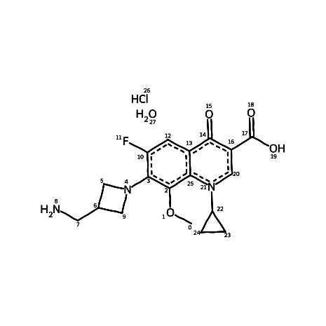 COc1c(N2CC(CN)C2)c(F)cc2c(=O)c(C(=O)O)cn(C3CC3)c12.Cl.O